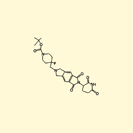 CC(C)(C)OC(=O)N1CCC(F)(CN2Cc3cc4c(cc3C2)C(=O)N(C2CCC(=O)NC2=O)C4=O)CC1